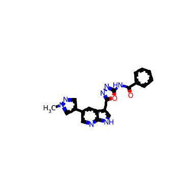 Cn1cc(-c2cnc3[nH]cc(-c4nnc(NC(=O)c5ccccc5)o4)c3c2)cn1